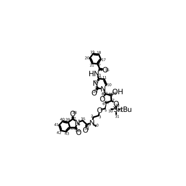 CN(CCOC[C@H]1O[C@@H](n2ccc(NC(=O)c3ccccc3)nc2=O)[C@@H](O)C1O[Si](C)(C)C(C)(C)C)C(=O)CN1C(=O)c2ccccc2C1=O